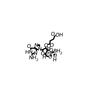 B[PH]1(O)OC[C@H]2O[C@@H](n3cnc4c(=O)[nH]c(N)nc43)C(OC(=O)CCC(=O)O)[C@H]2O1